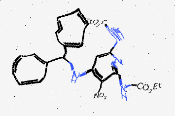 CCOC(=O)Nc1cc(NC(c2ccccc2)c2ccccc2)c([N+](=O)[O-])c(NC(=O)OCC)n1